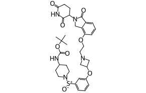 CC(C)(C)OC(=O)NC1CCN([S+]([O-])c2cccc(OC3CN(CCOc4cccc5c4CN(C4CCC(=O)NC4=O)C5=O)C3)c2)CC1